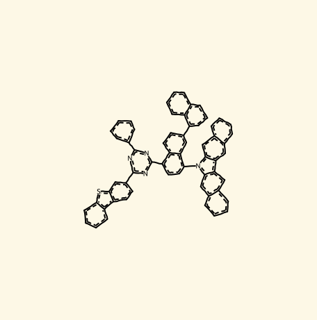 c1ccc(-c2nc(-c3ccc4c(c3)sc3ccccc34)nc(-c3ccc(-n4c5cc6ccccc6cc5c5cc6ccccc6cc54)c4cc(-c5cccc6ccccc56)ccc34)n2)cc1